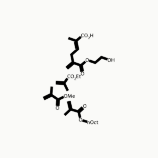 C=C(C)C(=O)OC.C=C(C)C(=O)OCC.C=C(C)C(=O)OCCCCCCCC.C=C(CC=C(C)C(=O)O)C(=O)OCCO